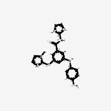 Cn1ccnc1Sc1cc(Oc2ccc(P)cc2)cc(C(=O)Nc2nccs2)c1